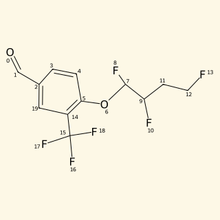 O=Cc1ccc(OC(F)C(F)CCF)c(C(F)(F)F)c1